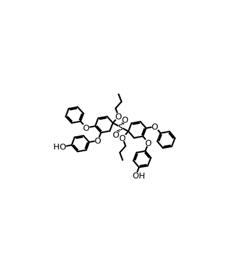 CCCOC1(S(=O)(=O)C2(OCCC)C=CC(Oc3ccccc3)=C(Oc3ccc(O)cc3)C2)C=CC(Oc2ccccc2)=C(Oc2ccc(O)cc2)C1